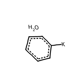 O.[K][c]1ccccc1